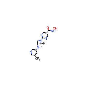 O=C(NO)c1cnc(N2CC3[C@H]2CN3c2cncc(C(F)(F)F)c2)nc1